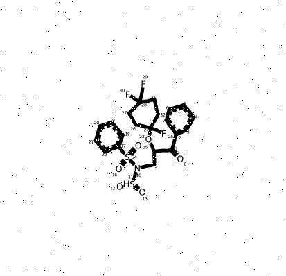 O=C(c1ccccc1)C(CN([SH](=O)=O)S(=O)(=O)c1ccccc1)OC1(F)CCC(F)(F)CC1